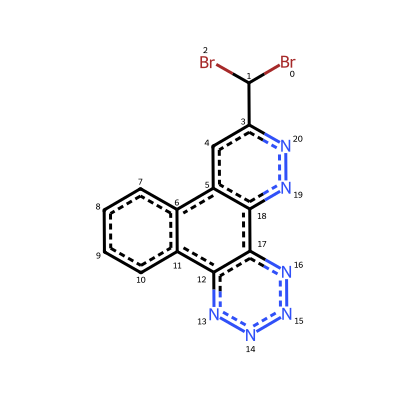 BrC(Br)c1cc2c3ccccc3c3nnnnc3c2nn1